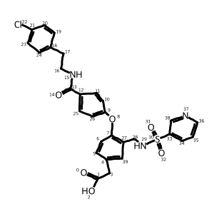 O=C(O)Cc1ccc(Oc2ccc(C(=O)NCCc3ccc(Cl)cc3)cc2)c(CNS(=O)(=O)c2cccnc2)c1